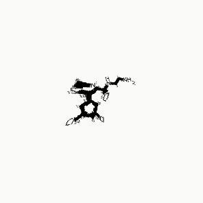 NCCNC(=O)c1ncsc1-c1cc(Cl)cc(Cl)c1